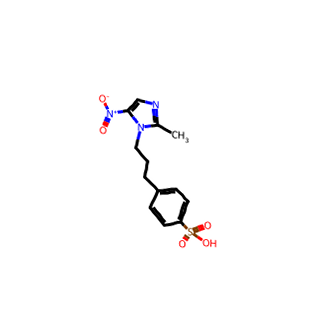 Cc1ncc([N+](=O)[O-])n1CCCc1ccc(S(=O)(=O)O)cc1